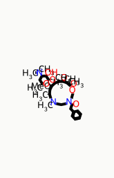 CO[C@]1(C)C[C@@H](C)CN(C)CCCN(C(=O)Cc2ccccc2)CCOC(=O)C(C)(C)C(=O)[C@H](C)[C@H]1O[C@@H]1O[C@H](C)C[C@H](N(C)C)[C@H]1O